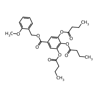 CCCC(=O)Oc1cc(C(=O)OCc2ccccc2OC)cc(OC(=O)CCC)c1OC(=O)CCC